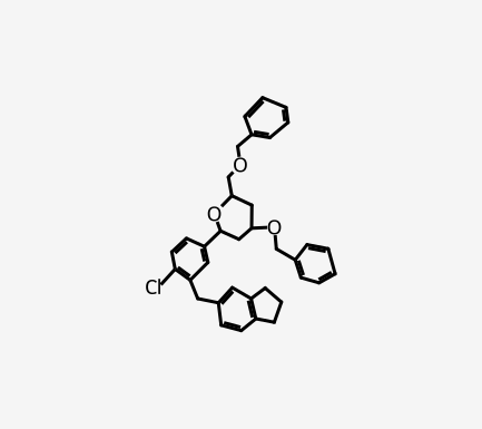 Clc1ccc(C2CC(OCc3ccccc3)CC(COCc3ccccc3)O2)cc1Cc1ccc2c(c1)CCC2